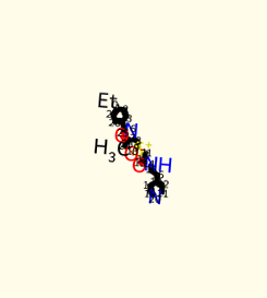 CCc1ccc(-c2nc(C[S+]([O-])CC(=O)NCCc3ccncc3)c(C)o2)cc1